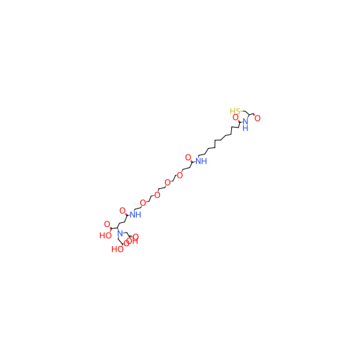 O=CC(CS)NC(=O)CCCCCCCCCCNC(=O)CCOCCOCCOCCOCCNC(=O)CCC(C(=O)O)N(CC(=O)O)CC(=O)O